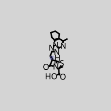 Cc1nc2nc(/C=C3/C(=O)N4C(C(=O)O)=CS[C@H]34)nn2c2c1CCCC2